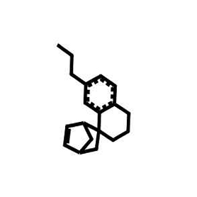 CCCc1ccc2c(c1)C1(CCC2)CC2C=CC1C2